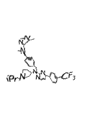 Cc1cc(N(C)c2ccc(CN(c3nccc(-c4ccc(C(F)(F)F)cc4)n3)C3CCN(C(C)C)CC3)cc2)ncn1